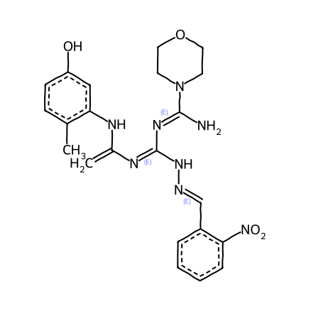 C=C(/N=C(\N=C(/N)N1CCOCC1)N/N=C/c1ccccc1[N+](=O)[O-])Nc1cc(O)ccc1C